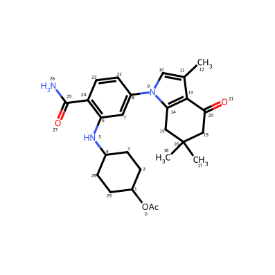 CC(=O)OC1CCC(Nc2cc(-n3cc(C)c4c3CC(C)(C)CC4=O)ccc2C(N)=O)CC1